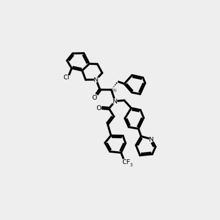 O=C([C@H](Cc1ccccc1)N(Cc1ccc(-c2ccccn2)cc1)C(=O)C=Cc1ccc(C(F)(F)F)cc1)N1CCc2cccc(Cl)c2C1